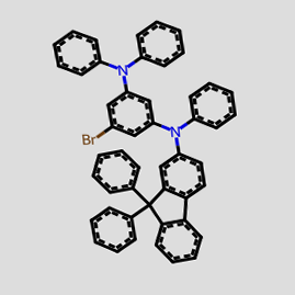 Brc1cc(N(c2ccccc2)c2ccccc2)cc(N(c2ccccc2)c2ccc3c(c2)C(c2ccccc2)(c2ccccc2)c2ccccc2-3)c1